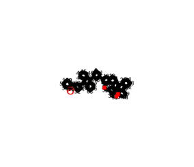 c1cc(-c2ccc3c4c(ccc3c2)-c2c(c3ccccc3c3ccccc23)C42c3ccccc3-c3ccccc32)cc(-c2c3ccccc3c(-c3ccc4oc5ccccc5c4c3)c3ccccc23)c1